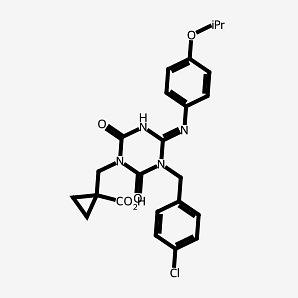 CC(C)Oc1ccc(/N=c2\[nH]c(=O)n(CC3(C(=O)O)CC3)c(=O)n2Cc2ccc(Cl)cc2)cc1